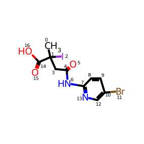 CC(I)(CC(=O)Nc1ccc(Br)cn1)C(=O)O